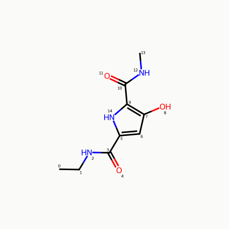 CCNC(=O)c1cc(O)c(C(=O)NC)[nH]1